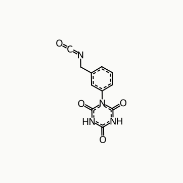 O=C=NCc1cccc(-n2c(=O)[nH]c(=O)[nH]c2=O)c1